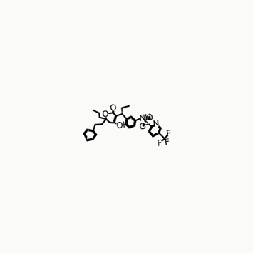 CCCC1(CCc2ccccc2)CC(O)=C([C@@H](CC)c2cccc(NS(=O)(=O)c3ccc(C(F)(F)F)cn3)c2)C(=O)O1